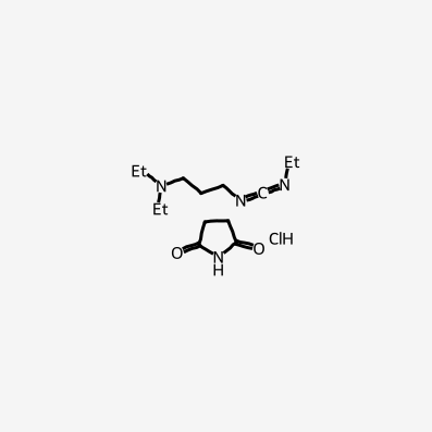 CCN=C=NCCCN(CC)CC.Cl.O=C1CCC(=O)N1